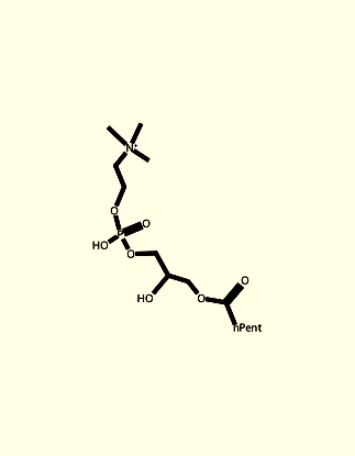 CCCCCC(=O)OCC(O)COP(=O)(O)OCC[N+](C)(C)C